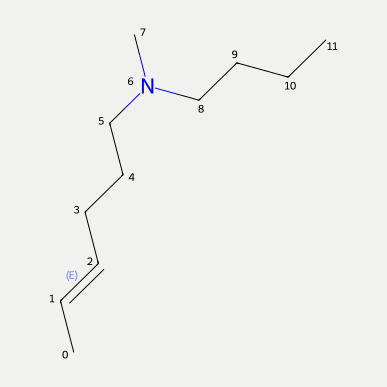 C/C=C/CCCN(C)CCCC